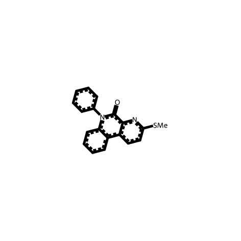 CSc1ccc2c(n1)c(=O)n(-c1ccccc1)c1ccccc21